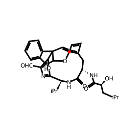 CC(C)C[C@H](O)C(=O)N[C@H]1Cc2ccc3c(c2)C2(c4ccccc4NC2O3)c2oc(nc2C=O)[C@H](C(C)C)NC1=O